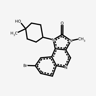 Cn1c(=O)n(C2CCC(C)(O)CC2)c2c3cc(Br)ccc3ncc21